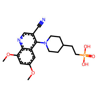 COc1cc(OC)c2ncc(C#N)c(N3CCC(CCP(=O)(O)O)CC3)c2c1